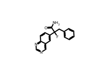 NC(=O)C(F)(Cc1ccccc1)c1ccc2ncncc2c1